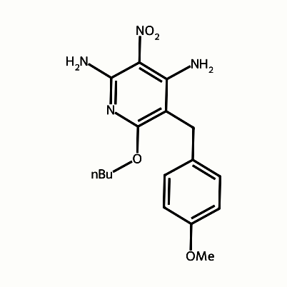 CCCCOc1nc(N)c([N+](=O)[O-])c(N)c1Cc1ccc(OC)cc1